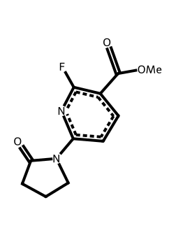 COC(=O)c1ccc(N2CCCC2=O)nc1F